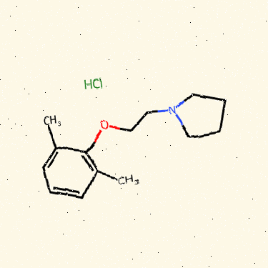 Cc1cccc(C)c1OCCN1CCCC1.Cl